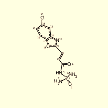 NP(N)(=O)NC(=O)/C=C/c1nc2cc(Cl)ccc2o1